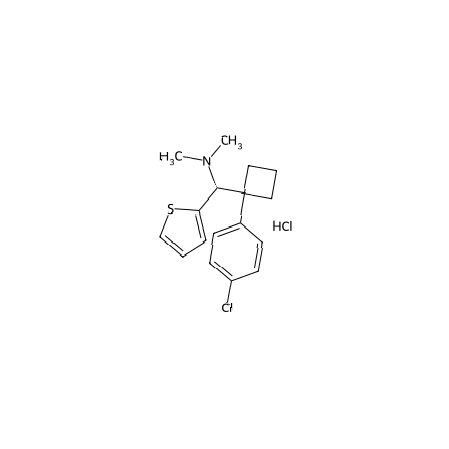 CN(C)C(c1cccs1)C1(c2ccc(Cl)cc2)CCC1.Cl